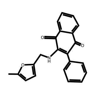 Cc1ccc(CNC2=C(c3ccccc3)C(=O)c3ccccc3C2=O)o1